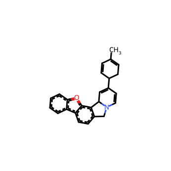 CC1=CCC(C2=CC3c4c(ccc5c4oc4ccccc45)CN3C=C2)C=C1